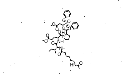 CCC(C)C(NC(=O)CCCCCNC(C)=O)C(=O)NC(CCC(=O)OC)C(=O)N1CCCC1C(=O)NC(CC(=O)OC)P(=O)(Oc1ccccc1)Oc1ccccc1